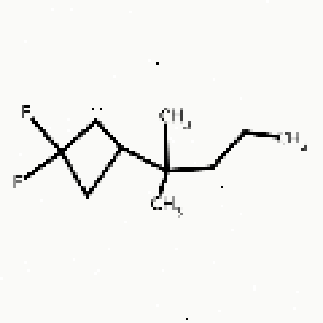 CCCC(C)(C)C1CC(F)(F)C1